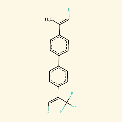 C/C(=C\F)c1ccc(-c2ccc(/C(=C/F)C(F)(F)F)cc2)cc1